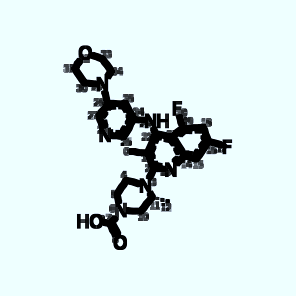 Cc1c(N2CCN(C(=O)O)C[C@H]2C)nc2cc(F)cc(F)c2c1Nc1cncc(N2CCOCC2)c1